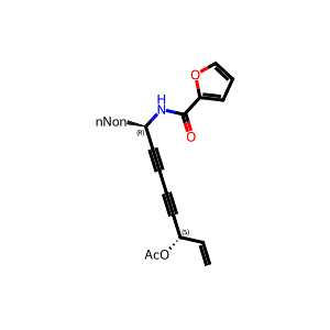 C=C[C@@H](C#CC#C[C@@H](CCCCCCCCC)NC(=O)c1ccco1)OC(C)=O